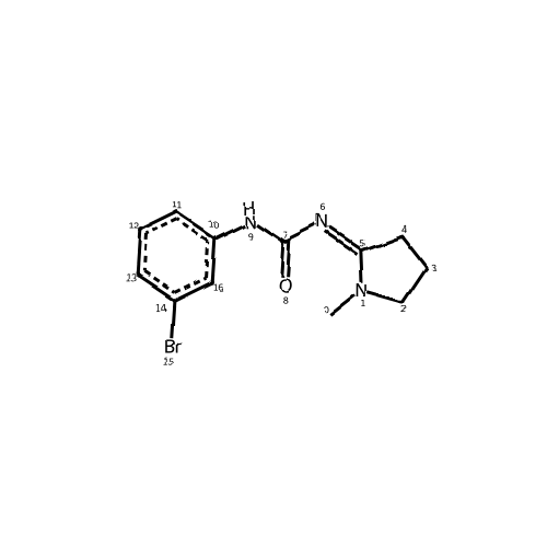 CN1CCCC1=NC(=O)Nc1cccc(Br)c1